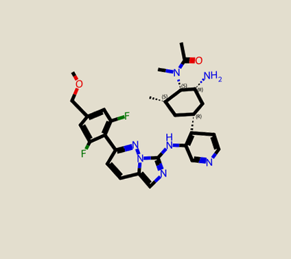 COCc1cc(F)c(-c2ccc3cnc(Nc4cnccc4[C@H]4C[C@@H](N)[C@@H](N(C)C(C)=O)[C@@H](C)C4)n3n2)c(F)c1